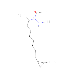 CCCCCCCCCC(CCCCCCCC1CC1CCCCCCCC)N(C(=O)CCC)N(C)C